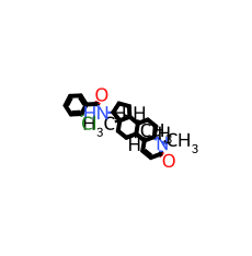 CN1C(=O)C=C[C@]2(C)[C@H]3CC[C@]4(C)[C@@H](NC(=O)c5ccccc5Cl)CC[C@H]4[C@@H]3CC[C@@H]12